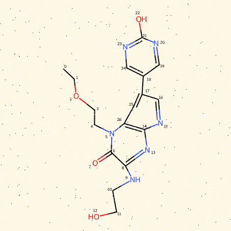 CCOCCn1c(=O)c(NCCO)nc2ncc(-c3cnc(O)nc3)cc21